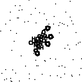 O[C@@]1(c2cnc3c(N[C@H]4CCc5ccccc54)nc(Cl)nn23)O[C@H](COCc2ccccc2)[C@@H](OCc2ccccc2)[C@H]1OCc1ccccc1